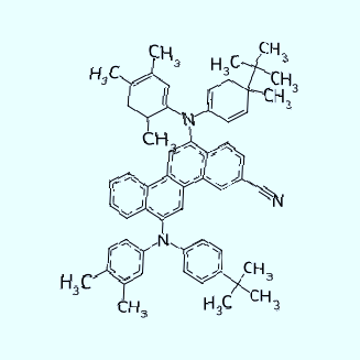 CC1=C(C)CC(C)C(N(C2=CCC(C)(C(C)(C)C)C=C2)c2cc3c4ccccc4c(N(c4ccc(C(C)(C)C)cc4)c4ccc(C)c(C)c4)cc3c3cc(C#N)ccc23)=C1